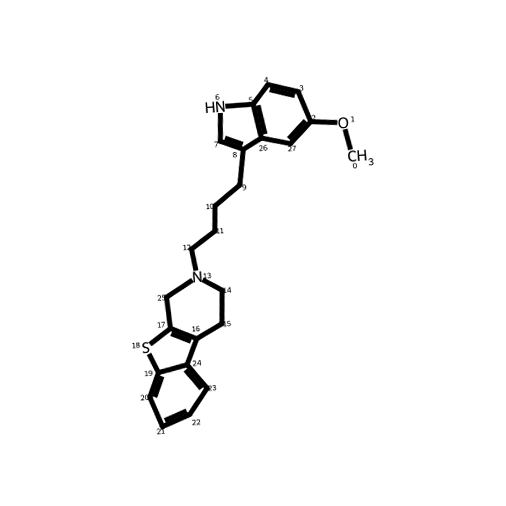 COc1ccc2[nH]cc(CCCCN3CCc4c(sc5ccccc45)C3)c2c1